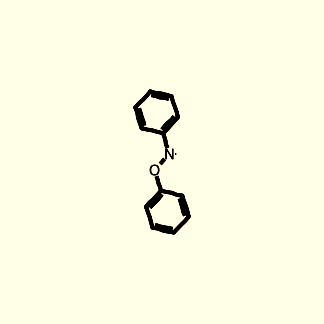 c1ccc([N]Oc2ccccc2)cc1